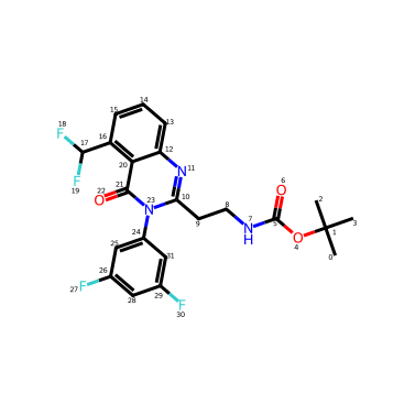 CC(C)(C)OC(=O)NCCc1nc2cccc(C(F)F)c2c(=O)n1-c1cc(F)cc(F)c1